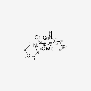 CO[C@]1(C(=O)N2CCOCC2)C[C@H](CC(C)C)NO1